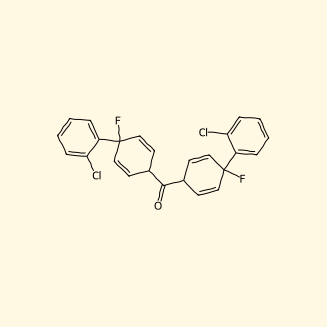 O=C(C1C=CC(F)(c2ccccc2Cl)C=C1)C1C=CC(F)(c2ccccc2Cl)C=C1